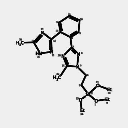 CCO[Si](CCn1nc(-c2ccccc2-c2n[nH]c(C)n2)nc1C)(OCC)OCC